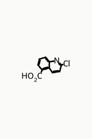 O=C(O)c1cccc2nc(Cl)ccc12